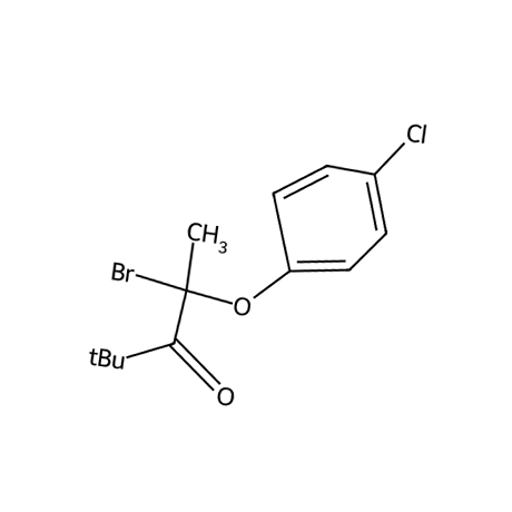 CC(C)(C)C(=O)C(C)(Br)Oc1ccc(Cl)cc1